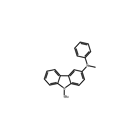 CN(c1ccccc1)c1ccc2c(c1)c1ccccc1n2C(C)(C)C